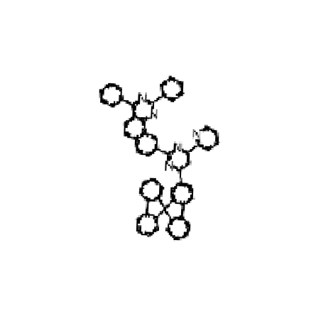 c1ccc(-c2nc(-c3ccccc3)c3ccc4ccc(-c5nc(-c6ccc7c(c6)C6(c8ccccc8-c8ccccc86)c6ccccc6-7)cc(-c6ccccn6)n5)cc4c3n2)cc1